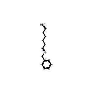 N=CCCCC/C=N/Cc1ccccc1